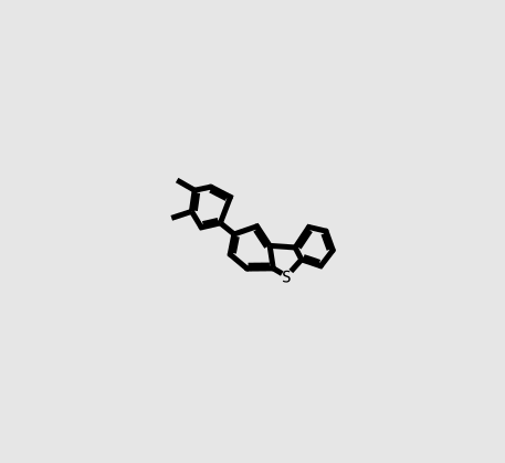 Cc1ccc(-c2ccc3sc4ccccc4c3c2)cc1C